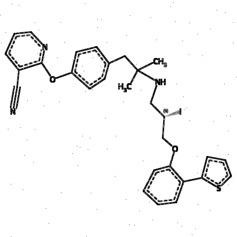 CC(C)(Cc1ccc(Oc2ncccc2C#N)cc1)NC[C@H](I)COc1ccccc1-c1cccs1